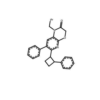 CC(C)CN1C(=O)COc2nc(C3CCC3c3cc[c]cc3)c(-c3ccccc3)cc21